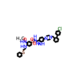 CONc1cc(S(=O)(=O)Nc2n[nH]c3cc(N4CCN(Cc5ccccc5-c5ccc(Cl)cc5)CC4)ccc23)ccc1NCCSc1ccccc1